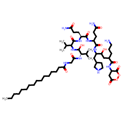 CCCCCCCCCCCCCCCC(=O)NCC(=O)N[C@@H](C(C)C)C(O)NC(C(=O)N[C@@H](CCC(N)=O)C(=O)NC(CCC(N)=O)C(=O)NC(CC1CCNC1)C(O)CC(CCCN)C(=O)NC1CC(=O)OOC1=O)C(C)C